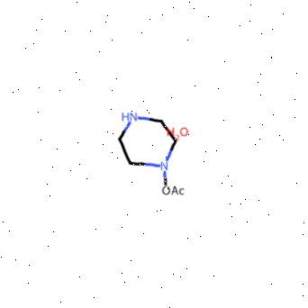 CC(=O)ON1CCNCC1.O